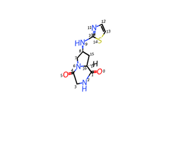 O=C1NCC(=O)N2C[C@@H](Nc3nccs3)C[C@@H]12